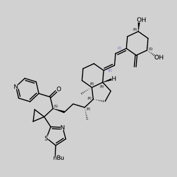 C=C1/C(=C\C=C2/CCC[C@]3(C)[C@@H]([C@H](C)CC[C@H](C(=O)c4ccncc4)C4(c5ncc(CCCC)s5)CC4)CC[C@@H]23)C[C@@H](O)C[C@@H]1O